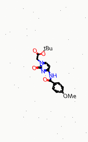 COc1ccc(C(=O)Nc2ccn(CC(=O)OC(C)(C)C)c(=O)n2)cc1